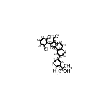 CC(C)(O)c1cncc(-c2cnc3ccn4c(C=O)c(-c5c(Cl)cccc5Cl)nc4c3c2)c1